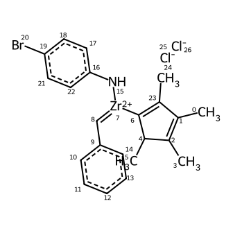 CC1=C(C)C(C)[C](/[Zr+2](=[CH]\c2ccccc2)[NH]c2ccc(Br)cc2)=C1C.[Cl-].[Cl-]